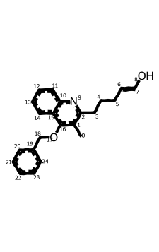 Cc1c(CCCC=CO)nc2ccccc2c1OCc1ccccc1